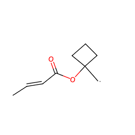 [CH2]C1(OC(=O)/C=C/C)CCC1